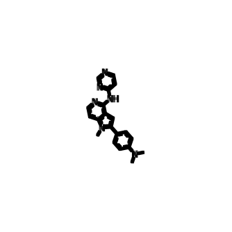 CN(C)c1ccc(-c2cc3c(Nc4ccncn4)nccc3n2C)cc1